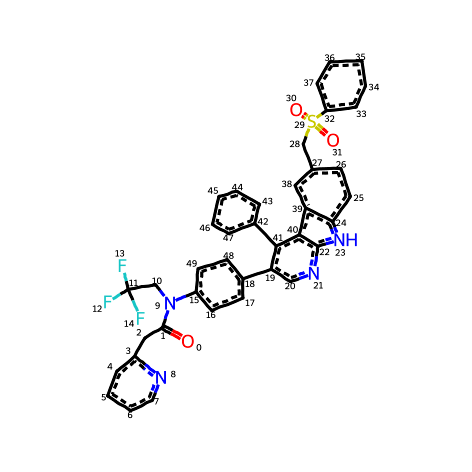 O=C(Cc1ccccn1)N(CC(F)(F)F)c1ccc(-c2cnc3[nH]c4ccc(CS(=O)(=O)c5ccccc5)cc4c3c2-c2ccccc2)cc1